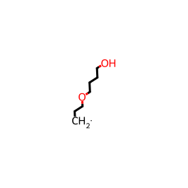 [CH2]CCOCCCCO